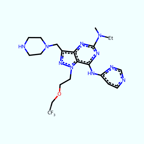 CCN(C)c1nc(Nc2ccncn2)c2c(n1)c(CN1CCNCC1)nn2CCOCC(F)(F)F